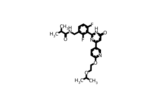 CC(C)OCCOc1ccc(-c2cc(=O)[nH]c(-c3c(F)ccc(CNC(=O)C(C)C)c3F)n2)cn1